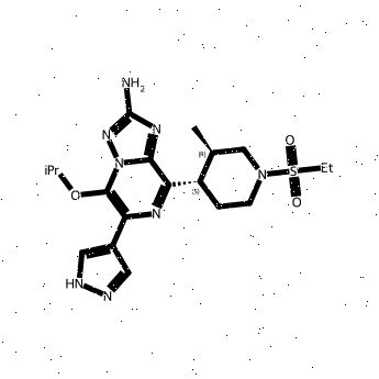 CCS(=O)(=O)N1CC[C@H](c2nc(-c3cn[nH]c3)c(OC(C)C)n3nc(N)nc23)[C@@H](C)C1